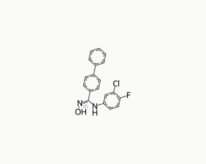 O/N=C(\Nc1ccc(F)c(Cl)c1)c1ccc(-c2ccccc2)cc1